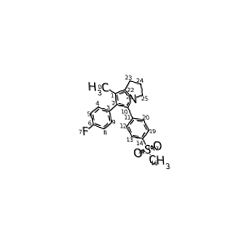 Cc1c(-c2ccc(F)cc2)c(-c2ccc(S(C)(=O)=O)cc2)n2c1CCC2